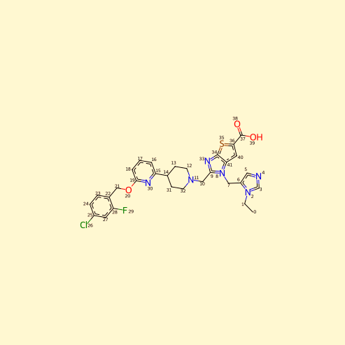 CCn1cncc1Cn1c(CN2CCC(c3cccc(OCc4ccc(Cl)cc4F)n3)CC2)nc2sc(C(=O)O)cc21